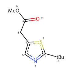 COC(=O)Cc1cnc(C(C)(C)C)s1